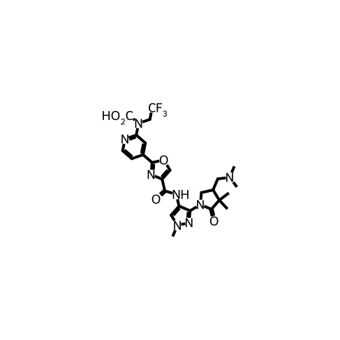 CN(C)CC1CN(c2nn(C)cc2NC(=O)c2coc(-c3ccnc(N(CC(F)(F)F)C(=O)O)c3)n2)C(=O)C1(C)C